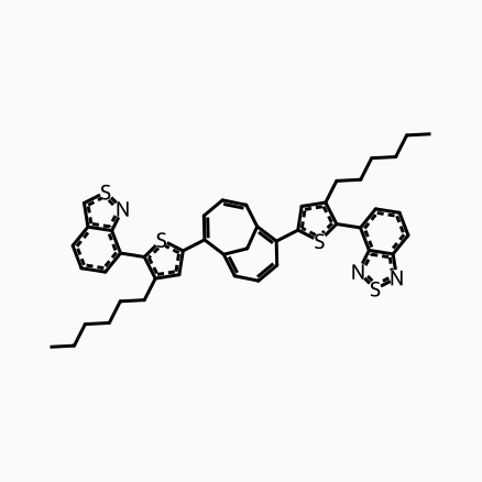 CCCCCCc1cc(C2=CC=CC3=C(c4cc(CCCCCC)c(-c5cccc6nsnc56)s4)C=CC=C2C3)sc1-c1cccc2csnc12